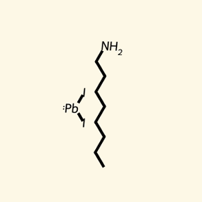 CCCCCCCCN.[I][Pb][I]